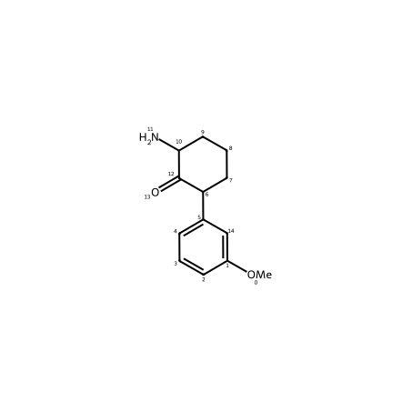 COc1cccc(C2CCCC(N)C2=O)c1